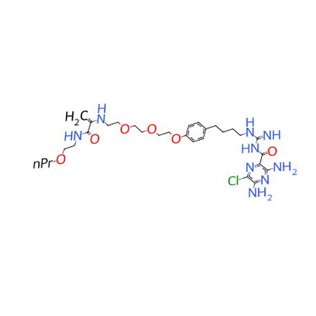 C=C(NCCOCCOCCOc1ccc(CCCCNC(=N)NC(=O)c2nc(Cl)c(N)nc2N)cc1)C(=O)NCCOCCC